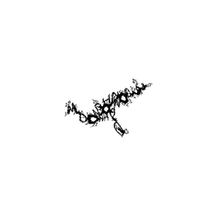 COCCOc1cc(-c2nc3cc(OCCCN(C)C)ccc3[nH]2)c(OC)cc1-c1nc2ccc(OCCCN(C)C)cc2[nH]1